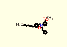 CCCCCCCCc1ccc(CN(C(=O)CCC2CCCC2)c2cccc(C(=O)OC)c2)cc1